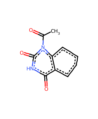 CC(=O)n1c(=O)[nH]c(=O)c2ccccc21